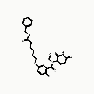 Cc1ccc(OCCCCCC(=O)OCc2ccccc2)cc1C(=O)N(C=O)C1CCC(=O)NC1=O